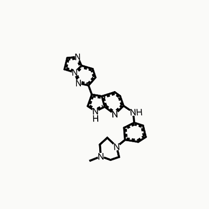 CN1CCN(c2cccc(Nc3ccc4c(-c5ccc6nccn6n5)c[nH]c4n3)c2)CC1